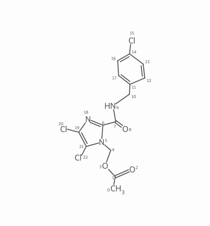 CC(=O)OCn1c(C(=O)NCc2ccc(Cl)cc2)nc(Cl)c1Cl